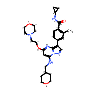 Cc1cc(-c2cnn3c(NCC4CCOCC4)cc(OCCN4CCOCC4)nc23)ccc1C(=O)NC1CC1